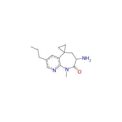 CCCc1cnc2c(c1)C1(CC1)CC(N)C(=O)N2C